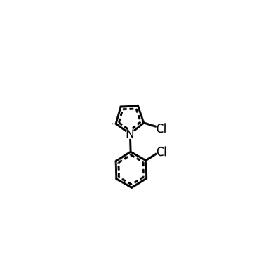 Clc1ccccc1-n1[c]ccc1Cl